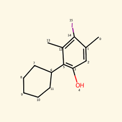 Cc1cc(O)c(C2CCCCC2)c(C)c1I